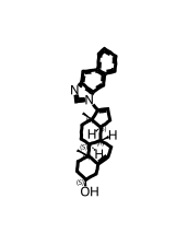 C[C@]12CC[C@H](O)CC1=CC[C@@H]1[C@@H]2CC[C@]2(C)C(n3cnc4cc5ccccc5cc43)=CC[C@@H]12